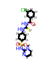 CN1CC=CN=C1NS(=O)(=O)c1ccc(NC(=S)NC(=O)c2cccc(Cl)c2)cc1